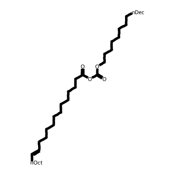 CCCCCCCCC=CCCCCCCCCCCCC(=O)OC(=O)OCCCCCCCCCCCCCCCCCC